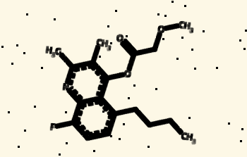 CCCCc1ccc(F)c2nc(C)c(C)c(OC(=O)COC)c12